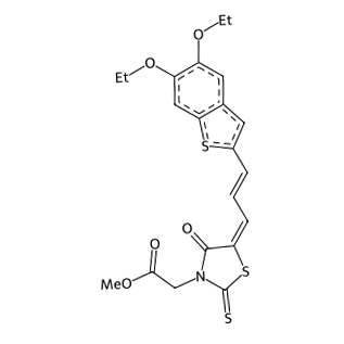 CCOc1cc2cc(C=CC=C3SC(=S)N(CC(=O)OC)C3=O)sc2cc1OCC